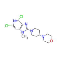 Cn1c(N2CCC(N3CCOCC3)CC2)nc2c(Cl)nc(Cl)cc21